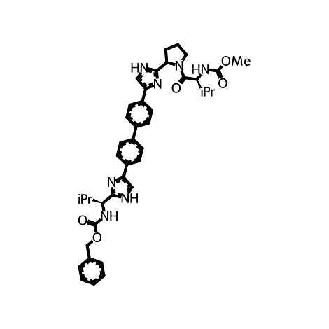 COC(=O)N[C@H](C(=O)N1CCCC1c1nc(-c2ccc(-c3ccc(-c4c[nH]c([C@@H](NC(=O)OCc5ccccc5)C(C)C)n4)cc3)cc2)c[nH]1)C(C)C